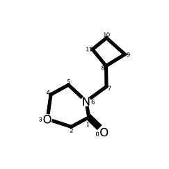 O=C1COCCN1CC1CCC1